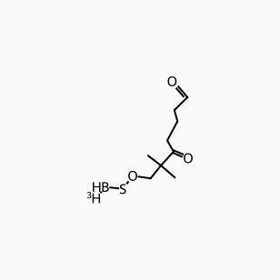 [3H]BSOCC(C)(C)C(=O)CCCC=O